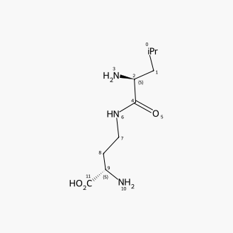 CC(C)C[C@H](N)C(=O)NCC[C@H](N)C(=O)O